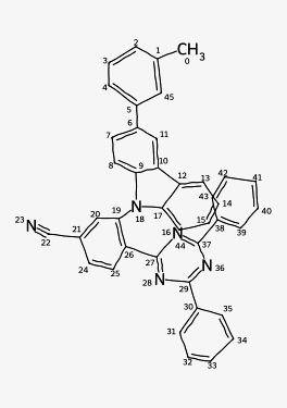 Cc1cccc(-c2ccc3c(c2)c2ccccc2n3-c2cc(C#N)ccc2-c2nc(-c3ccccc3)nc(-c3ccccc3)n2)c1